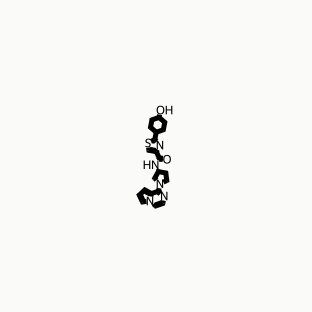 O=C(N[C@H]1CCN(c2nccn3cccc23)C1)c1csc(C2CCC(O)CC2)n1